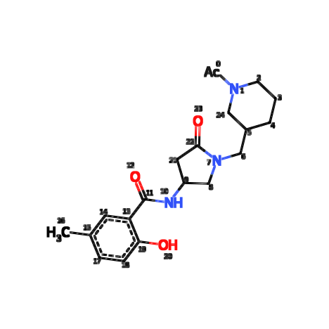 CC(=O)N1CCCC(CN2CC(NC(=O)c3cc(C)ccc3O)CC2=O)C1